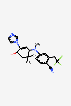 CN(c1ccc(C#N)c(CC(F)(F)F)c1)C1C=C(n2ccnc2)C(O)CC1(C)C